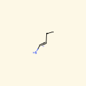 CC/C=C/[NH]